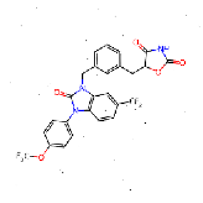 O=C1NC(=O)C(Cc2cccc(Cn3c(=O)n(-c4ccc(OC(F)(F)F)cc4)c4ccc(C(F)(F)F)cc43)c2)O1